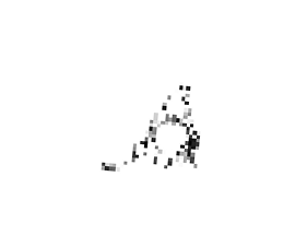 COCCN1CCN(C[C@@H]2CCC[C@H](C)[C@@H](C)S(=O)(=O)NC(=O)c3ccc4c(c3)N(CCCCc3cc(Cl)ccc3CO4)C[C@@H]3CC[C@@H]23)CC1